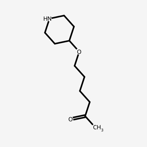 CC(=O)CCCCOC1CCNCC1